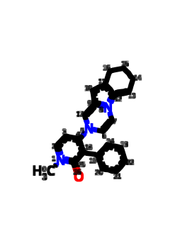 Cn1ccc(N2C=Cn3c(cc4c3=CCCC4)=C2)c(-c2ccccc2)c1=O